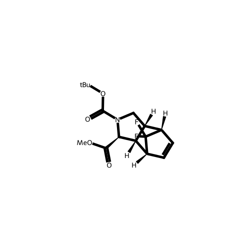 COC(=O)[C@@H]1[C@@H]2[C@H](CN1C(=O)OC(C)(C)C)[C@@H]1C=C[C@H]2C1(F)F